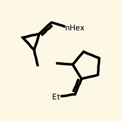 CCC=C1CCCC1C.CCCCCCC=C1CC1C